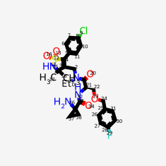 CCN(CC1=C(c2ccc(Cl)cc2)S(=O)(=O)NC1(C)C)C(=O)[C@@H](COCc1ccc(F)cc1)NC(=O)C1(N)CC1